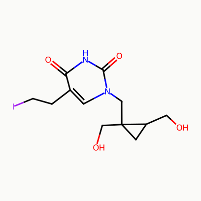 O=c1[nH]c(=O)n(CC2(CO)CC2CO)cc1CCI